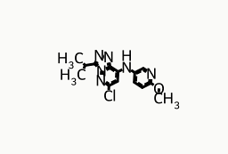 COc1ccc(Nc2cc(Cl)nn3c(C(C)C)nnc23)cn1